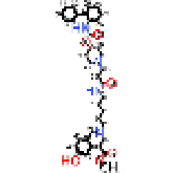 COC(=O)CCN(CCCCCNC(=O)CCN1CCC(OC(=O)Nc2ccccc2-c2ccccc2)CC1)Cc1ccc(O)cc1